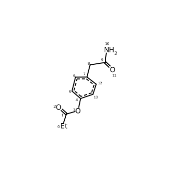 CCC(=O)Oc1ccc(CC(N)=O)cc1